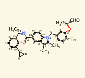 Cc1c(C)n(Cc2ccc(F)c(O[C@@H](C)C=O)c2)c2ccc(C(=O)N[C@@H](C)c3cccc(C4CC4)c3)cc12